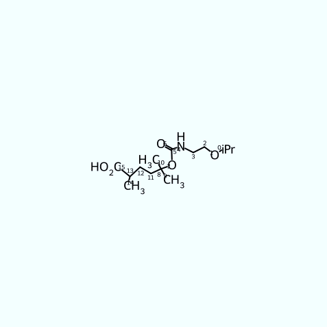 CC(C)OCCNC(=O)OC(C)(C)CCC(C)C(=O)O